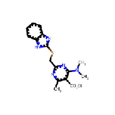 CCOC(=O)c1c(C)nc(CSc2nc3ccccc3[nH]2)nc1N(C)C